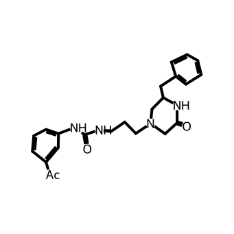 CC(=O)c1cccc(NC(=O)NCCCN2CC(=O)NC(Cc3ccccc3)C2)c1